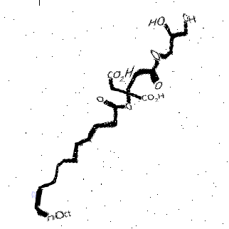 CCCCCCCC/C=C\CCCCCCCC(=O)OC(CC(=O)O)(CC(=O)OCC(O)CO)C(=O)O